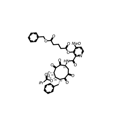 COc1ccnc(C(=O)N[C@H]2CC(=O)C(=O)[C@H](Cc3ccccc3)[C@H](OC(=O)C(C)C)[C@H](C)C(=O)C2=O)c1OC(=O)CCCC(=O)OCc1ccccc1